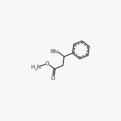 CC(C)(C)C(CC(=O)ON)c1ccccc1